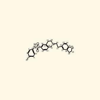 O=S(=O)(Nc1ccc(F)cc1)c1ccc2c(c1)CCN(CCc1ccc3c(c1)CCO3)C2